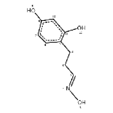 ON=CCCc1ccc(O)cc1O